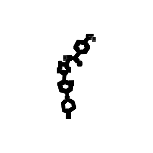 O=C(Nc1nc(-c2ccc(N3CCNCC3)cn2)ns1)c1ccc(C(F)(F)F)cc1